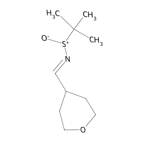 CC(C)(C)[S+]([O-])N=CC1CCOCC1